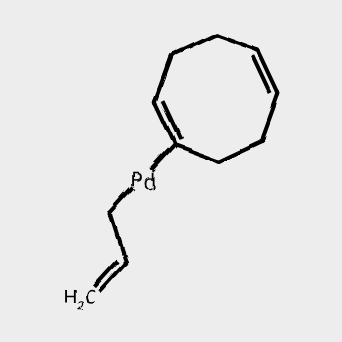 C=C[CH2][Pd][C]1=CCCC=CCC1